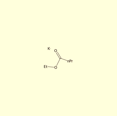 CCCC(=O)OCC.[K]